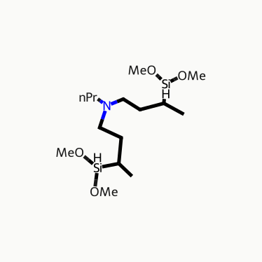 CCCN(CCC(C)[SiH](OC)OC)CCC(C)[SiH](OC)OC